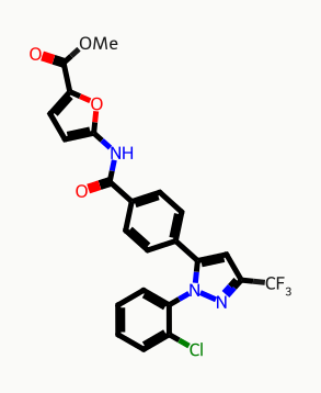 COC(=O)c1ccc(NC(=O)c2ccc(-c3cc(C(F)(F)F)nn3-c3ccccc3Cl)cc2)o1